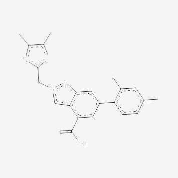 Cc1ccc(-c2cc(C(=O)O)c3cn(Cc4nc(C)c(C)o4)nc3c2)c(Cl)c1